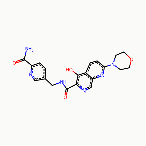 NC(=O)c1ccc(CNC(=O)c2ncc3nc(N4CCOCC4)ccc3c2O)cn1